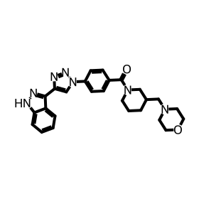 O=C(c1ccc(-n2cc(-c3n[nH]c4ccccc34)nn2)cc1)N1CCCC(CN2CCOCC2)C1